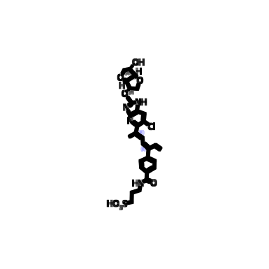 C=C/C(=C\C=C(/C)c1nc2nc(O[C@@H]3CO[C@H]4[C@@H]3OC[C@H]4O)[nH]c2cc1Cl)c1ccc(C(=O)NCCCS(=O)(=O)O)cc1